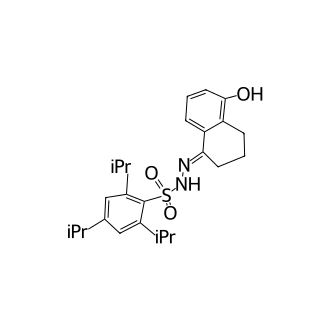 CC(C)c1cc(C(C)C)c(S(=O)(=O)NN=C2CCCc3c(O)cccc32)c(C(C)C)c1